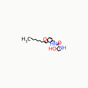 CCCCCCCc1cc2cc(CNC(=O)[C@H]3NCC[C@@H]3O)ccc2o1